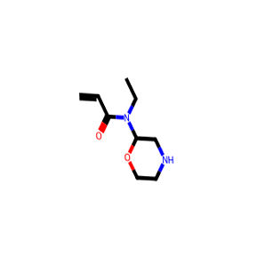 C=CC(=O)N(CC)C1CNCCO1